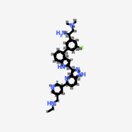 CCNCc1cncc(-c2ccc3[nH]nc(-c4cc5c(-c6cc(F)cc(C(N)CN(C)C)c6)cccc5[nH]4)c3n2)c1